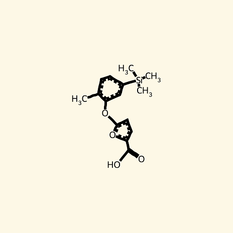 Cc1ccc([Si](C)(C)C)cc1Oc1ccc(C(=O)O)o1